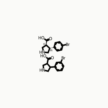 O=C(O)C1CNCC1c1cccc(Br)c1.O=C(O)[C@@H]1CNC[C@H]1c1ccc(Br)cc1